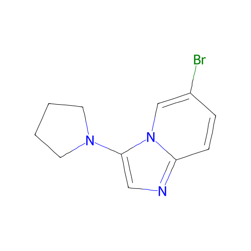 Brc1ccc2ncc(N3CCCC3)n2c1